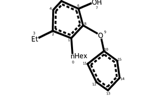 CCCCCCc1c(CC)ccc(O)c1Oc1ccccc1